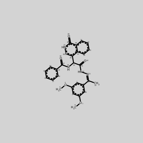 COc1cc(OC)cc(C(C)=NNC(=O)C(NC(=O)c2ccccc2)c2n[nH]c(=O)c3ccccc23)c1